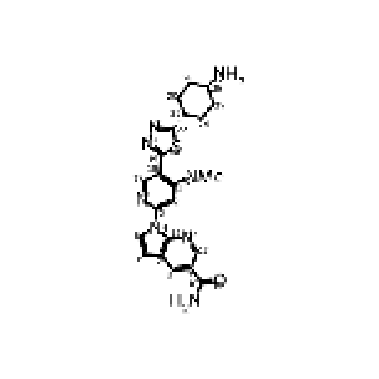 CNc1cc(-n2ccc3cc(C(N)=O)cnc32)ncc1-c1nnc([C@H]2CC[C@H](N)CC2)s1